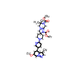 CCOc1cc(-c2ccc(N3CCC(CN4CCN(C(=O)OC(C)(C)C)C(C)(C)C4)(NC(=O)OC(C)C)CC3)nc2)c2c(C#N)cnn2c1